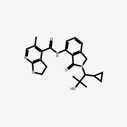 Cc1cnc2c(c1C(=O)Nc1cccc3c1C(=O)N(C(C1CC1)C(C)(C)O)C3)CCO2